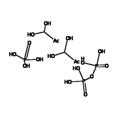 CC(=O)C(O)O.CC(=O)C(O)O.O=P(O)(O)O.O=P(O)(O)OP(=O)(O)O